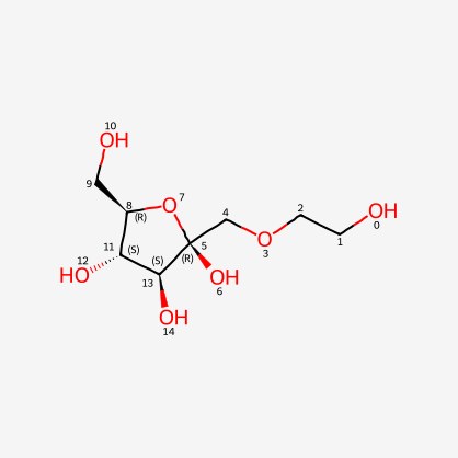 OCCOC[C@@]1(O)O[C@H](CO)[C@@H](O)[C@@H]1O